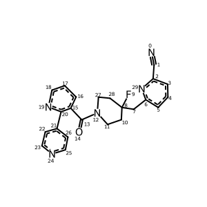 N#Cc1cccc(CC2(F)CCN(C(=O)c3cccnc3-c3ccncc3)CC2)n1